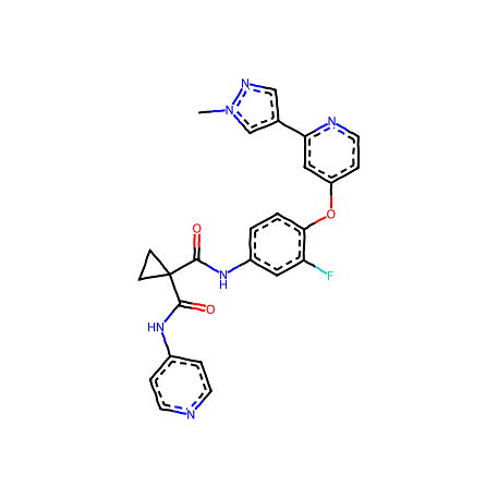 Cn1cc(-c2cc(Oc3ccc(NC(=O)C4(C(=O)Nc5ccncc5)CC4)cc3F)ccn2)cn1